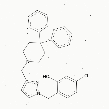 Oc1cc(Cl)ccc1Cn1ccc(CN2CCC(c3ccccc3)(c3ccccc3)CC2)n1